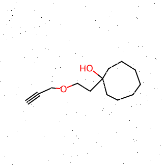 C#CCOCCC1(O)CCCCCCC1